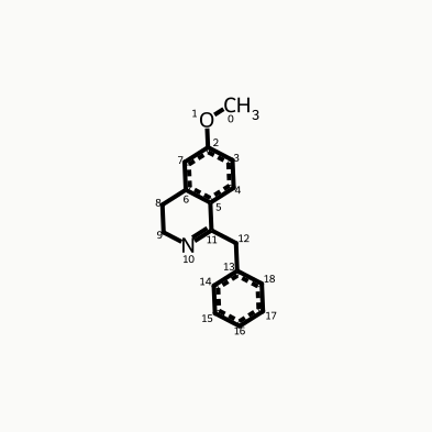 COc1ccc2c(c1)CCN=C2Cc1ccccc1